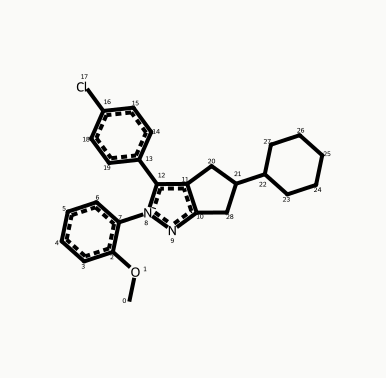 COc1ccccc1-n1nc2c(c1-c1ccc(Cl)cc1)CC(C1CCCCC1)C2